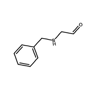 O=CCBCc1ccccc1